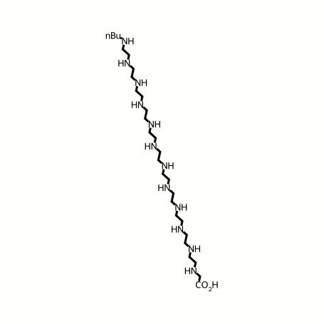 CCCCNCCNCCNCCNCCNCCNCCNCCNCCNCCNCCNCCNCC(=O)O